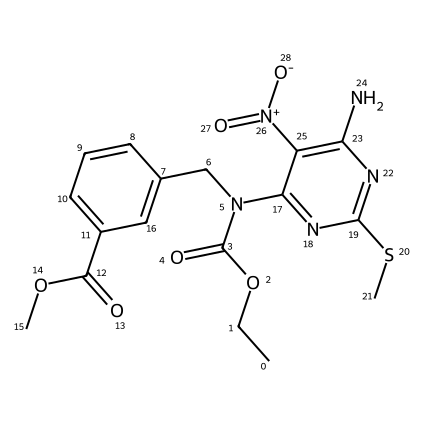 CCOC(=O)N(Cc1cccc(C(=O)OC)c1)c1nc(SC)nc(N)c1[N+](=O)[O-]